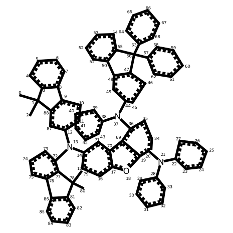 CC1(C)c2ccccc2-c2ccc(N(c3ccc4oc5c(N(c6ccccc6)c6ccccc6)ccc(N(c6ccccc6)c6ccc7c(c6)-c6ccccc6C7(c6ccccc6)c6ccccc6)c5c4c3)c3cccc4c3C(C)(C)c3ccccc3-4)cc21